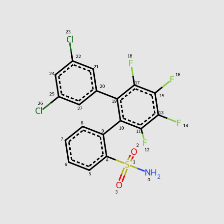 NS(=O)(=O)c1ccccc1-c1c(F)c(F)c(F)c(F)c1-c1cc(Cl)cc(Cl)c1